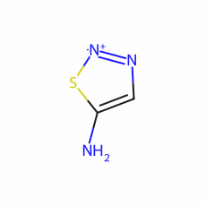 NC1=CN=[N+]S1